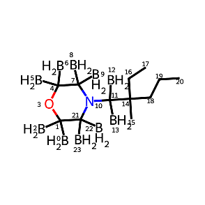 BC1(B)OC(B)(B)C(B)(B)N(C(B)(B)C(C)(CC)CCC)C1(B)B